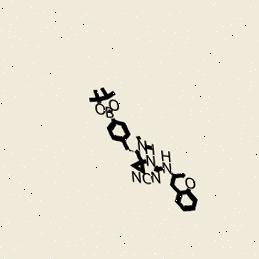 CN(C)[C@@H](Cc1ccc(B2OC(C)(C)C(C)(C)O2)cc1)C1(NC(=NC#N)N[C@H]2COc3ccccc3C2)CC1